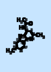 CC(=O)Nc1cc(C)nc2c1nc1cc(C)ccn12